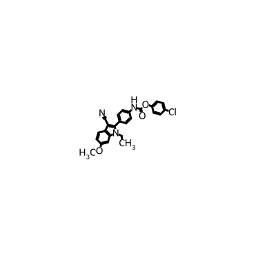 CCn1c(-c2ccc(NC(=O)Oc3ccc(Cl)cc3)cc2)c(C#N)c2ccc(OC)cc21